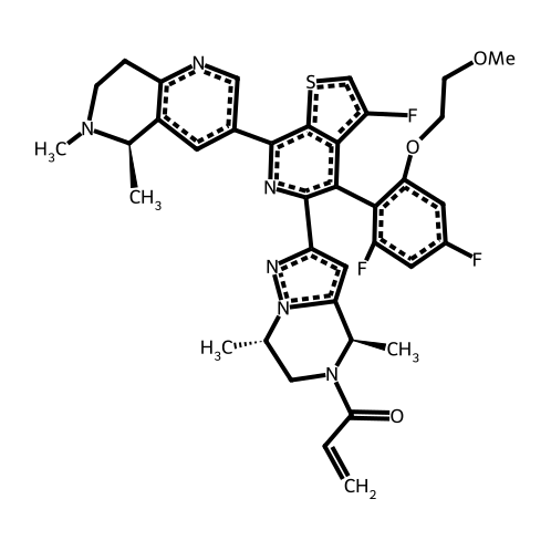 C=CC(=O)N1C[C@H](C)n2nc(-c3nc(-c4cnc5c(c4)[C@@H](C)N(C)CC5)c4scc(F)c4c3-c3c(F)cc(F)cc3OCCOC)cc2[C@H]1C